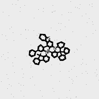 CC1(C)c2ccccc2-c2cccc(N3B4c5cccc6c5N(c5ccccc5C6(c5ccccc5)c5ccccc5)c5cc6sc7ccccc7c6c(c54)-c4ccc(-c5ccccc5)cc43)c21